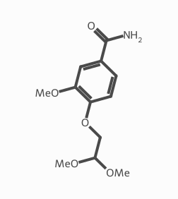 COc1cc(C(N)=O)ccc1OCC(OC)OC